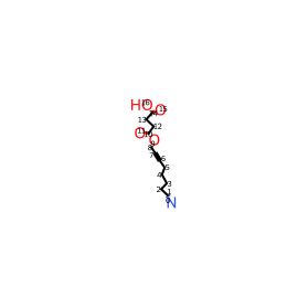 N#CCCCCC#CCOC(=O)CCC(=O)O